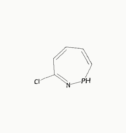 ClC1=NPC=CC=C1